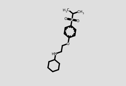 CC(C)S(=O)(=O)c1ccc(OCCNC2CCCCC2)cc1